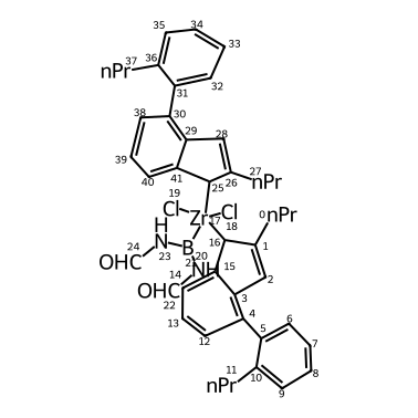 CCCC1=Cc2c(-c3ccccc3CCC)cccc2[CH]1[Zr]([Cl])([Cl])([B](NC=O)NC=O)[CH]1C(CCC)=Cc2c(-c3ccccc3CCC)cccc21